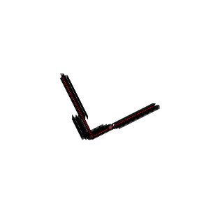 Cl.Cl.Cl.Cl.Cl.Cl.Cl.Cl.Cl.Cl.Cl.Cl.Cl.Cl.Cl.Cl.Cl.Cl.Cl.Cl.Cl.Cl.Cl.Cl.Cl.Cl.Cl.Cl.Cl.Cl.Cl.Cl.Cl.Cl.Cl.Cl.Cl.Cl.Cl.Cl.Cl.Cl.Cl.Cl.Cl.Cl.Cl.Cl.Cl.Cl.[Zn].[Zn].[Zn].[Zn].[Zn].[Zn].[Zn].[Zn].[Zn].[Zn].[Zn].[Zn].[Zn].[Zn].[Zn].[Zn].[Zn].[Zn].[Zn].[Zn].[Zn].[Zn].[Zn].[Zn].[Zn].[Zn].[Zn].[Zn].[Zn].[Zn].[Zn].[Zn].[Zn].[Zn].[Zn].[Zn].[Zn].[Zn].[Zn].[Zn].[Zn].[Zn].[Zn].[Zn].[Zn].[Zn].[Zn].[Zn].[Zn].[Zn].[Zn].[Zn].[Zn].[Zn].[Zn].[Zn].[Zn].[Zn].[Zn].[Zn].[Zn].[Zn].[Zn].[Zn].[Zn].[Zn].[Zn].[Zn].[Zn].[Zn].[Zn].[Zn].[Zn].[Zn].[Zn].[Zn].[Zn].[Zn].[Zn].[Zn].[Zn].[Zn].[Zn].[Zn].[Zn].[Zn].[Zn].[Zn].[Zn].[Zn].[Zn].[Zn].[Zn].[Zn].[Zn].[Zn].[Zn].[Zn].[Zn].[Zn]